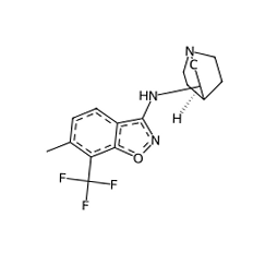 Cc1ccc2c(N[C@H]3CN4CCC3CC4)noc2c1C(F)(F)F